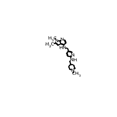 Cc1cc2c(NCc3ccc(NCC4CCN(C)CC4)nc3)ccnc2n1C